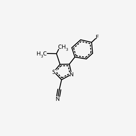 CC(C)c1sc(C#N)nc1-c1ccc(F)cc1